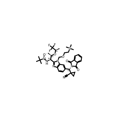 C[C@@H](O[C@H](C)C(F)(F)F)[C@H](N[S@+]([O-])C(C)(C)C)c1nc2ccc([C@H](N3C(=O)c4ccccc4C3=O)C3(C#N)CC3)cc2n1COCC[Si](C)(C)C